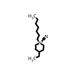 CCCCCCC[N+]1(C#N)CCC(CC)CC1